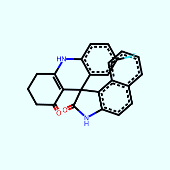 O=C1CCCC2=C1C1(C(=O)Nc3ccc4ccccc4c31)c1cc(F)ccc1N2